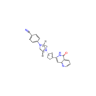 N#Cc1ccc(N2C[C@@H]3C[C@H]2CN3[C@@H]2C=C(c3cc4ncccc4c(=O)[nH]3)CC2)cc1